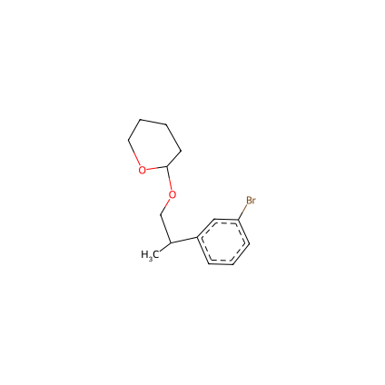 CC(COC1CCCCO1)c1cccc(Br)c1